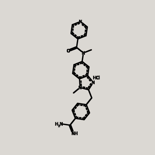 CN(C(=O)c1ccncc1)c1ccc2c(c1)nc(Cc1ccc(C(=N)N)cc1)n2C.Cl